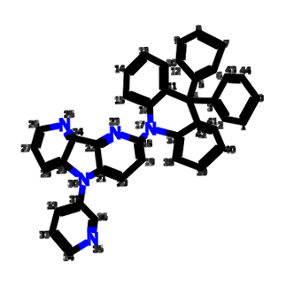 c1ccc(C2(c3ccccc3)c3ccccc3N(c3ccc4c(n3)c3ncccc3n4-c3cccnc3)c3ccccc32)cc1